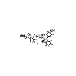 CC(CNC(=O)OC(C)(C)C)C[C@H](C)CNC(=O)c1[nH]c2ccccc2c1-c1ccc(C#N)cc1